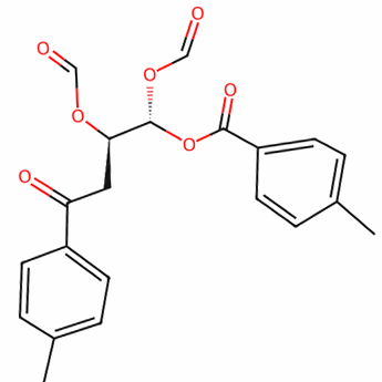 Cc1ccc(C(=O)C[C@@H](OC=O)[C@H](OC=O)OC(=O)c2ccc(C)cc2)cc1